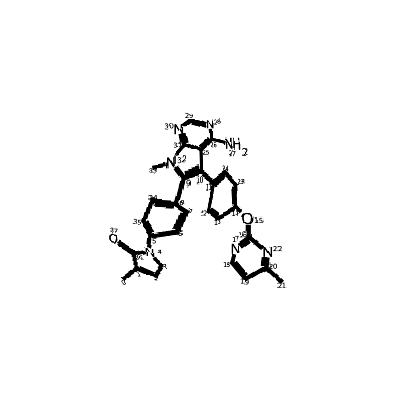 CC1=CCN(c2ccc(-c3c(-c4ccc(Oc5nccc(C)n5)cc4)c4c(N)ncnc4n3C)cc2)C1=O